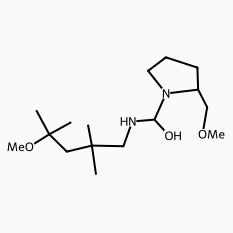 COCC1CCCN1C(O)NCC(C)(C)CC(C)(C)OC